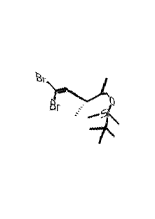 CC(O[Si](C)(C)C(C)(C)C)[C@H](C)C=C(Br)Br